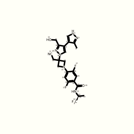 Cc1n[nH]cc1-c1cn(C2(CC#N)CN(c3cc(F)c(C(=O)N[C@@H](C)C(F)(F)F)cc3F)C2)nc1CO